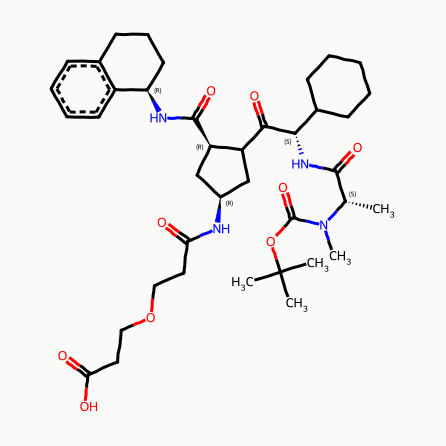 C[C@@H](C(=O)N[C@H](C(=O)C1C[C@@H](NC(=O)CCOCCC(=O)O)C[C@H]1C(=O)N[C@@H]1CCCc2ccccc21)C1CCCCC1)N(C)C(=O)OC(C)(C)C